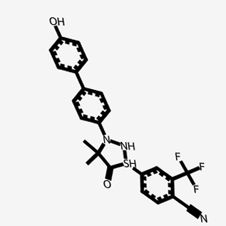 CC1(C)C(=O)[SH](c2ccc(C#N)c(C(F)(F)F)c2)NN1c1ccc(-c2ccc(O)cc2)cc1